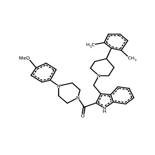 COc1ccc(N2CCN(C(=O)c3[nH]c4ccccc4c3CN3CCC(c4c(C)cccc4C)CC3)CC2)cc1